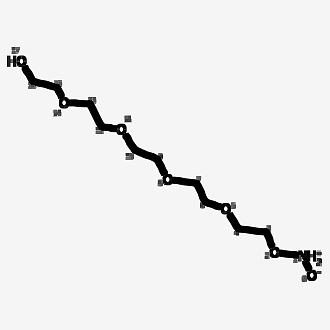 [O-][NH2+]OCCOCCOCCOCCOCCO